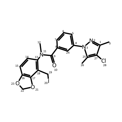 Cc1nn(-c2cccc(C(=O)N(C)c3ccc4c(c3CI)OCO4)c2)c(C)c1Cl